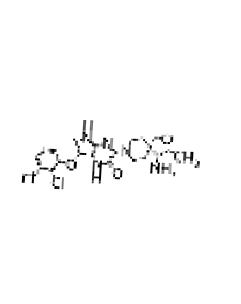 C[C@@H]1OCC2(CCN(c3nc4[nH]nc(Oc5cccc(Cl)c5Cl)c4[nH]c3=O)CC2)[C@@H]1N